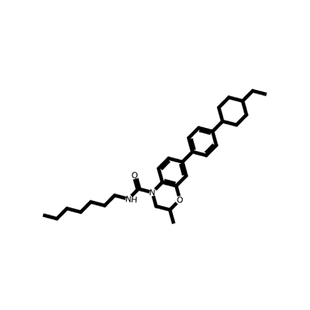 CCCCCCCNC(=O)N1CC(C)Oc2cc(-c3ccc(C4CCC(CC)CC4)cc3)ccc21